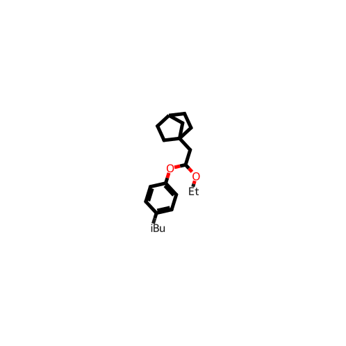 CCOC(CC12CCC(CC1)C2)Oc1ccc(C(C)CC)cc1